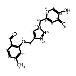 Cc1ccc(C=O)c(OCc2cn(Cc3cc(=O)c(O)co3)nn2)c1